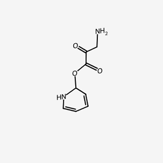 NCC(=O)C(=O)OC1C=CC=CN1